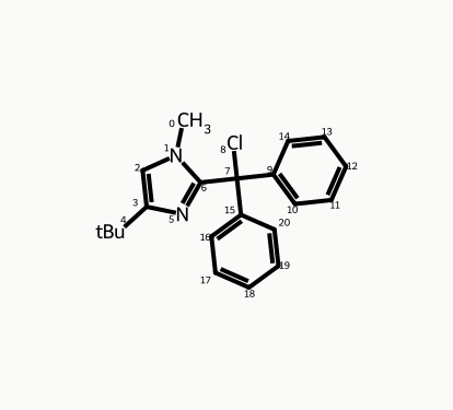 Cn1cc(C(C)(C)C)nc1C(Cl)(c1ccccc1)c1ccccc1